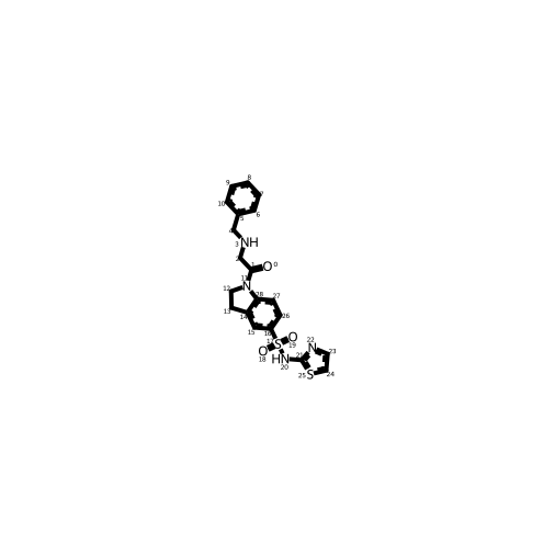 O=C(CNCc1ccccc1)N1CCc2cc(S(=O)(=O)Nc3nccs3)ccc21